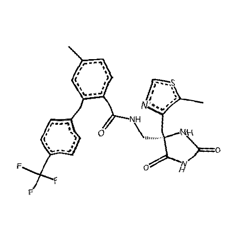 Cc1ccc(C(=O)NC[C@]2(c3ncsc3C)NC(=O)NC2=O)c(-c2ccc(C(F)(F)F)cc2)c1